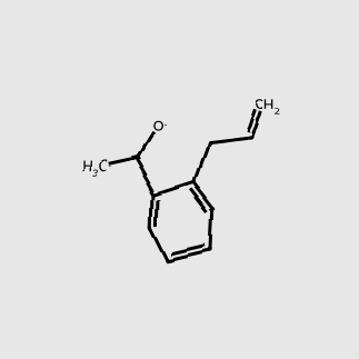 C=CCc1ccccc1C(C)[O]